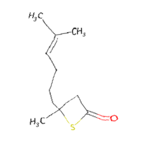 CC(C)=CCCC1(C)CC(=O)S1